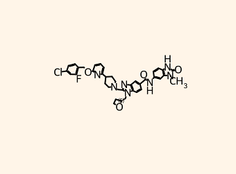 Cn1c(=O)[nH]c2ccc(NC(=O)c3ccc4c(c3)nc(CN3CCC(c5cccc(OCc6ccc(Cl)cc6F)n5)CC3)n4C[C@@H]3CCO3)cc21